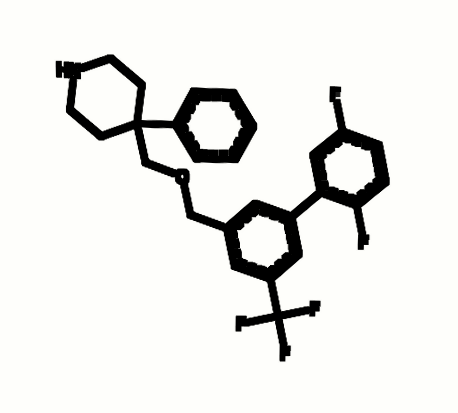 Fc1ccc(F)c(-c2cc(COCC3(c4ccccc4)CCNCC3)cc(C(F)(F)F)c2)c1